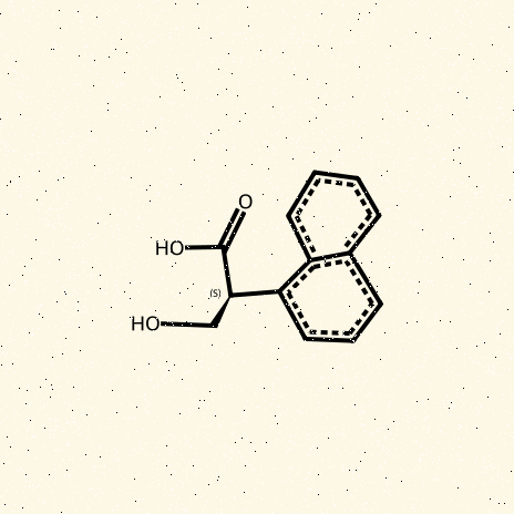 O=C(O)[C@H](CO)c1cccc2ccccc12